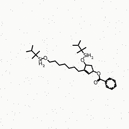 CC(C)C(C)(C)[SiH2]OCCCCCCCC1=CC(OC(=O)c2ccccc2)CC1O[SiH2]C(C)(C)C(C)C